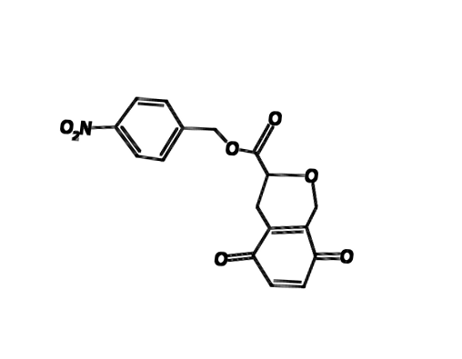 O=C1C=CC(=O)C2=C1COC(C(=O)OCc1ccc([N+](=O)[O-])cc1)C2